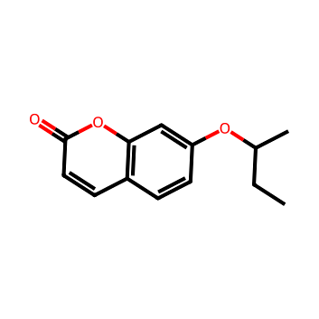 CCC(C)Oc1ccc2ccc(=O)oc2c1